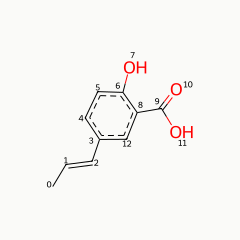 CC=Cc1ccc(O)c(C(=O)O)c1